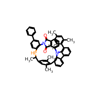 Cc1cc(C)c(-c2cccc3c4cccc5c4n(c23)-c2cccc3c2C(=O)N(C3=O)c2cc(-c3ccccc3)ccc2PC(C)c2cc(C)c-5c(C)c2)c(C)c1